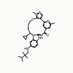 Cc1cc2cc(n1)-c1cnn(C)c1OCCCC(C1CC1)N1/C(=N/C2=O)Nc2ccc(NCC(C)(C)N(C)C)cc21